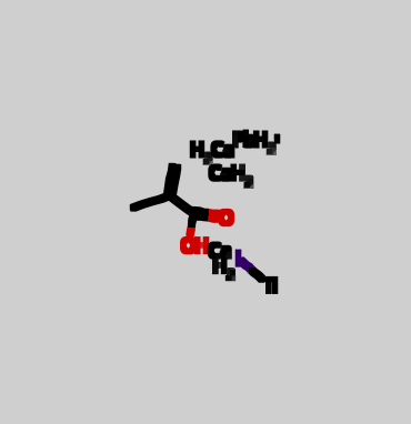 C=C(C)C(=O)O.[CaH2].[CaH2].[CaH2].[PbH2].[Ti][I]